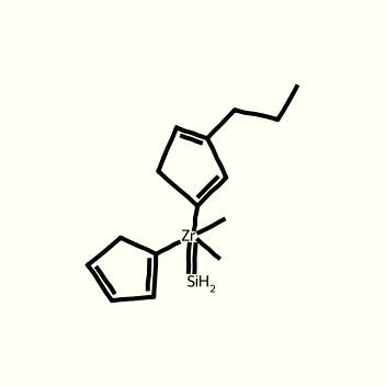 CCCC1=CC[C]([Zr]([CH3])([CH3])(=[SiH2])[C]2=CC=CC2)=C1